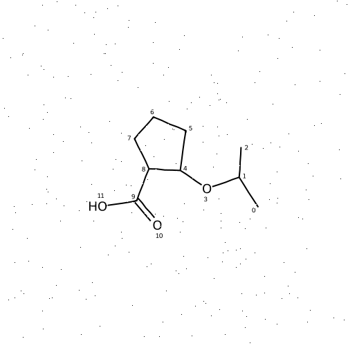 CC(C)OC1CCCC1C(=O)O